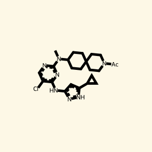 CC(=O)N1CCC2(CCC(N(C)c3ncc(Cl)c(Nc4cc(C5CC5)[nH]n4)n3)CC2)CC1